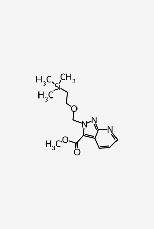 COC(=O)c1c2cccnc2nn1COCC[Si](C)(C)C